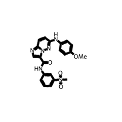 COc1ccc(Nc2ccc3ncc(C(=O)Nc4cccc(S(C)(=O)=O)c4)n3n2)cc1